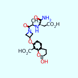 C[C@@H](N[C@H](CC(=O)O)C(N)=O)C(=O)N1CC(Oc2ccc3c(c2C(=O)O)OB(O)CC3)C1